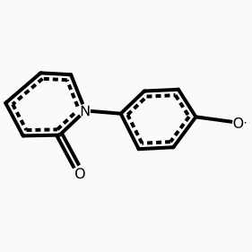 [O]c1ccc(-n2ccccc2=O)cc1